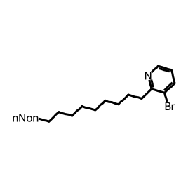 CCCCCCCCCCCCCCCCCCc1ncccc1Br